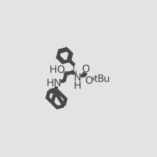 CC(C)(C)OC(=O)N[C@@H](Cc1ccccc1)[C@H](O)CNC1C2CC3CC(C2)CC1C3